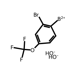 [B+2]c1ccc(OC(F)(F)F)cc1Br.[OH-].[OH-]